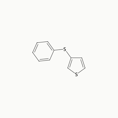 c1ccc(Sc2ccsc2)cc1